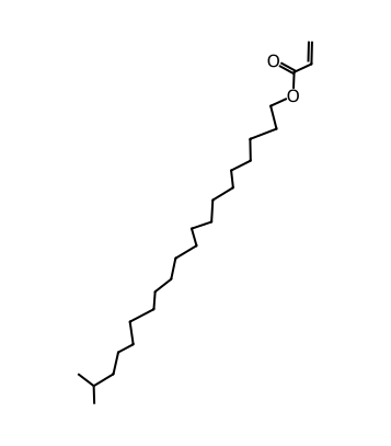 C=CC(=O)OCCCCCCCCCCCCCCCCCCC(C)C